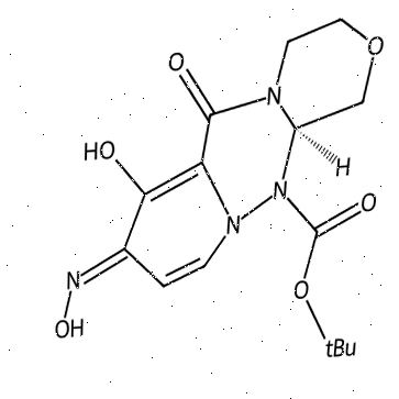 CC(C)(C)OC(=O)N1[C@@H]2COCCN2C(=O)c2c(O)/c(=N/O)ccn21